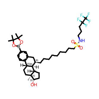 CC1(C)OB(c2ccc3c(c2)C[C@@H](CCCCCCCCCS(=O)(=O)NCCCC(F)(F)C(F)(F)F)[C@@H]2[C@@H]3CC[C@]3(C)[C@@H](O)CC[C@@H]23)OC1(C)C